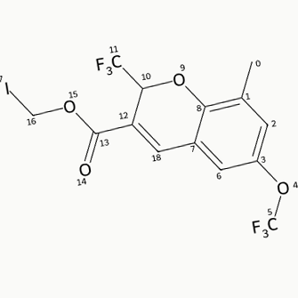 Cc1cc(OC(F)(F)F)cc2c1OC(C(F)(F)F)C(C(=O)OCI)=C2